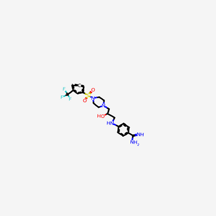 N=C(N)c1ccc(NCC(O)CN2CCN(S(=O)(=O)c3cccc(C(F)(F)F)c3)CC2)cc1